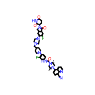 C[C@@H]1CN(c2ccc(C#N)c3ncccc23)[C@@H](C)CN1C(=O)Nc1ccc(N2CCC(CN3CCN(c4cc5c(cc4F)C(=O)N(C4CCC(=O)NC4=O)C5)CC3)CC2)c(F)c1